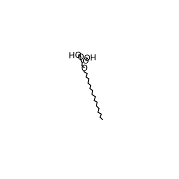 CCCCCCCCCCCCCCCCCCOCC(COO)OO